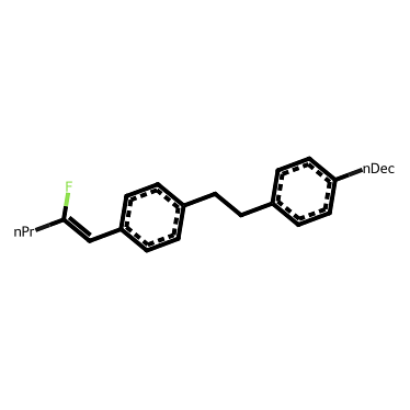 CCCCCCCCCCc1ccc(CCc2ccc(C=C(F)CCC)cc2)cc1